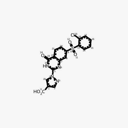 O=C(O)c1cnn(-c2nc3cc(S(=O)(=O)c4ccccc4Cl)ccc3c(=O)[nH]2)c1